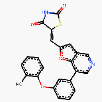 N#Cc1ccccc1Oc1cccc(-c2cncc3cc(/C=C4\SC(=O)NC4=O)oc23)c1